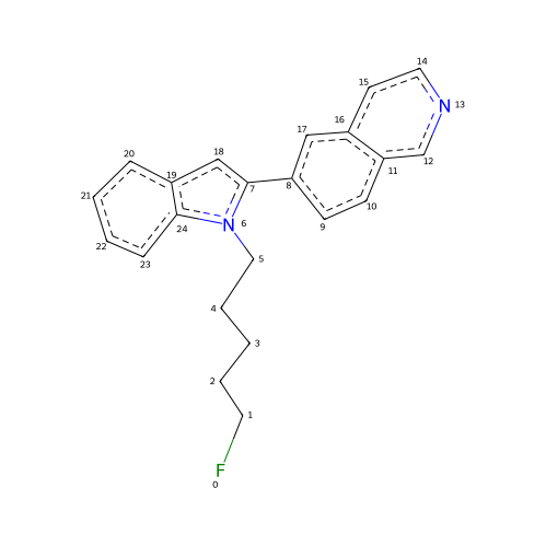 FCCCCCn1c(-c2ccc3cnccc3c2)cc2ccccc21